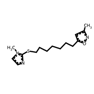 Cc1cc(CCCCCCCSc2nccn2C)on1